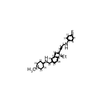 CCn1c(C#CCNc2ccc(F)cc2)cc2cc(CNC3CCN(C)CC3)ccc21